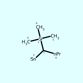 CCC[CH]([Sn])[Si](C)(C)C